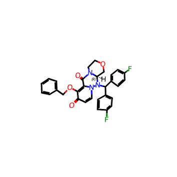 O=C1c2c(OCc3ccccc3)c(=O)ccn2N(C(c2ccc(F)cc2)c2ccc(F)cc2)[C@@H]2COCCN12